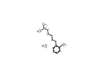 Cc1ccccc1CCCCCN(C)C.O